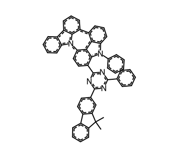 CC1(C)c2ccccc2-c2ccc(-c3nc(-c4ccccc4)nc(-c4ccc5c6c7c(cccc7n(-c7ccccc7)c46)c4cccc6c7ccccc7n5c46)n3)cc21